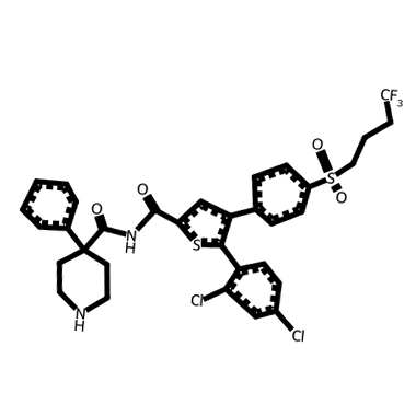 O=C(NC(=O)C1(c2ccccc2)CCNCC1)c1cc(-c2ccc(S(=O)(=O)CCCC(F)(F)F)cc2)c(-c2ccc(Cl)cc2Cl)s1